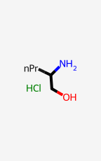 CCCC(N)CO.Cl